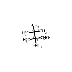 CC(C)(C)[C@@](C)(N)[C]=O